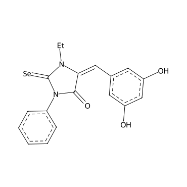 CCN1C(=[Se])N(c2ccccc2)C(=O)C1=Cc1cc(O)cc(O)c1